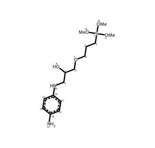 CO[Si](CCCOCC(O)CNc1ccc(N)cc1)(OC)OC